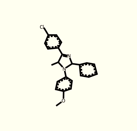 COc1ccc(N2C(C)C(c3ccc(Cl)cc3)=NC2c2ccccc2)cc1